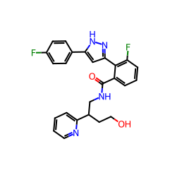 O=C(NCC(CCO)c1ccccn1)c1cccc(F)c1-c1cc(-c2ccc(F)cc2)[nH]n1